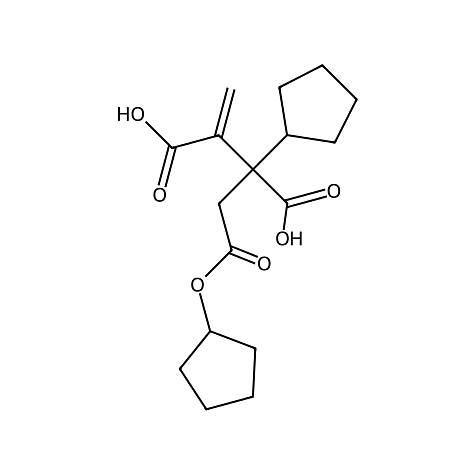 C=C(C(=O)O)C(CC(=O)OC1CCCC1)(C(=O)O)C1CCCC1